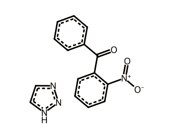 O=C(c1ccccc1)c1ccccc1[N+](=O)[O-].c1c[nH]nn1